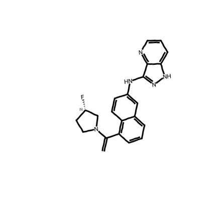 C=C(c1cccc2cc(Nc3n[nH]c4cccnc34)ccc12)N1CC[C@H](F)C1